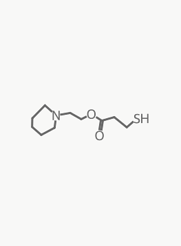 O=C(CCS)OCCN1CCCCC1